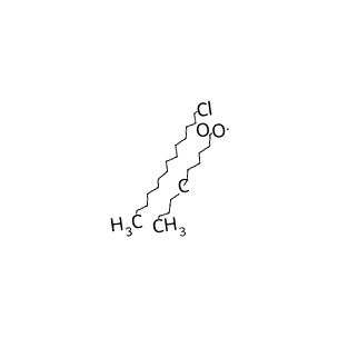 CCCCCCCCCCCC([O])=O.CCCCCCCCCCCCCCCl